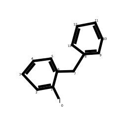 Ic1ccccc1Cc1ccccc1